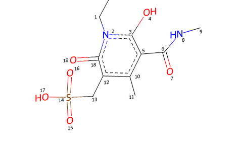 CCn1c(O)c(C(=O)NC)c(C)c(CS(=O)(=O)O)c1=O